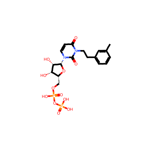 Cc1cccc(CCn2c(=O)ccn([C@@H]3O[C@H](COP(=O)(O)OP(=O)(O)O)[C@H](O)[C@@H]3O)c2=O)c1